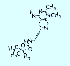 Cc1nc(=NF)c2cc(C#CCNC(=O)OC(C)(C)C)ncc2n1C